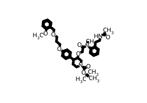 COc1ccccc1COCCCOc1ccc(C2CCN(C(=O)OC(C)(C)C)CC2OCC(=O)N(C)c2ccccc2CCNC(C)=O)cc1